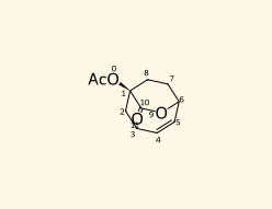 CC(=O)O[C@@]12CC/C=C\C(CC1)OC2=O